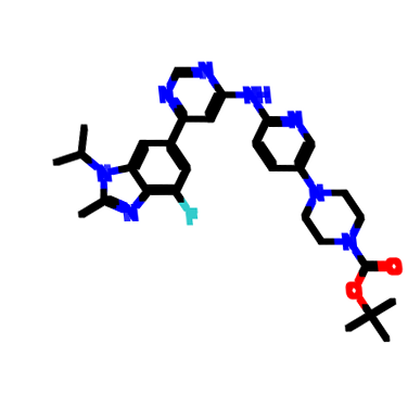 Cc1nc2c(F)cc(-c3cc(Nc4ccc(N5CCN(C(=O)OC(C)(C)C)CC5)cn4)ncn3)cc2n1C(C)C